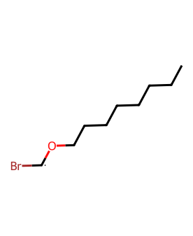 CCCCCCCCO[CH]Br